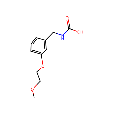 COCCOc1cccc(CNC(=O)O)c1